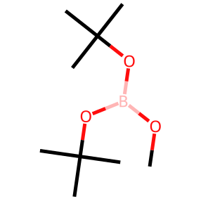 COB(OC(C)(C)C)OC(C)(C)C